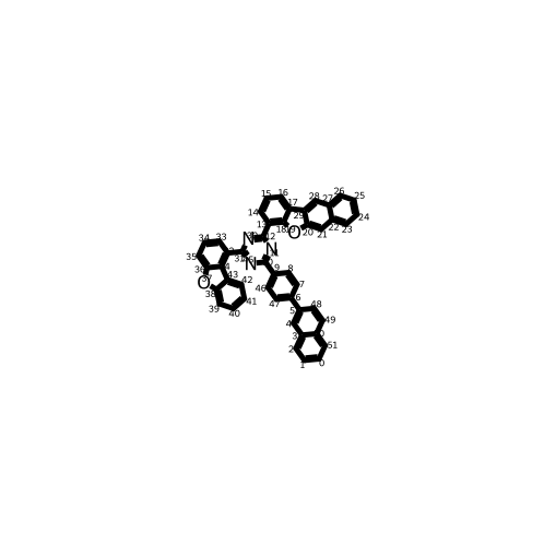 c1ccc2cc(-c3ccc(-c4nc(-c5cccc6c5oc5cc7ccccc7cc56)nc(-c5cccc6oc7ccccc7c56)n4)cc3)ccc2c1